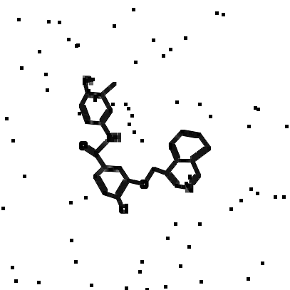 Cc1cc(NC(=O)c2ccc(Cl)c(OCc3cncc4ccccc34)c2)ccc1C(C)C